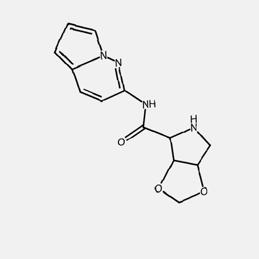 O=C(Nc1ccc2cccn2n1)C1NCC2OCOC21